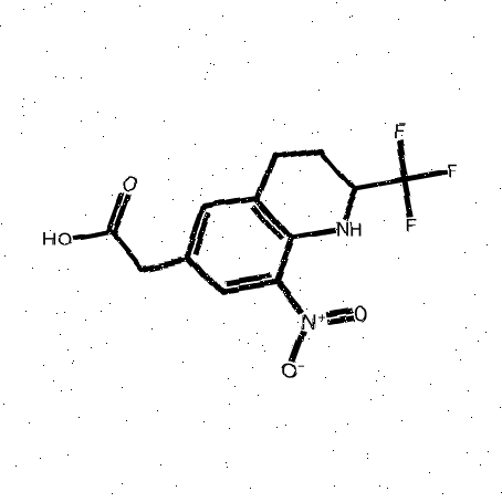 O=C(O)Cc1cc2c(c([N+](=O)[O-])c1)NC(C(F)(F)F)CC2